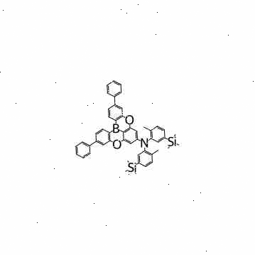 Cc1ccc([Si](C)(C)C)cc1N(c1cc2c3c(c1)Oc1cc(-c4ccccc4)ccc1B3c1ccc(-c3ccccc3)cc1O2)c1cc([Si](C)(C)C)ccc1C